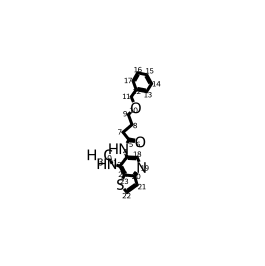 CNc1c(NC(=O)CCCOCc2ccccc2)cnc2ccsc12